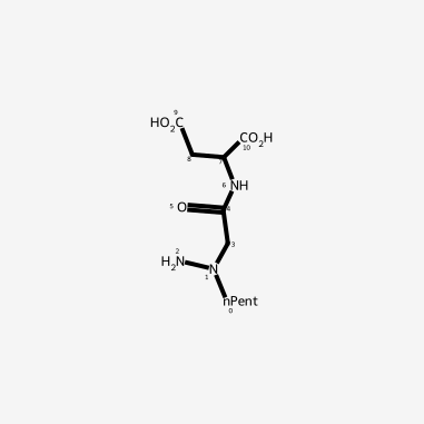 CCCCCN(N)CC(=O)NC(CC(=O)O)C(=O)O